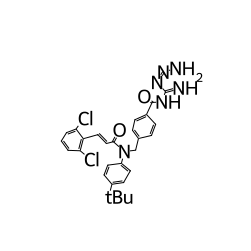 CC(C)(C)c1ccc(N(Cc2ccc(C(=O)NC(=N)/N=N\N)cc2)C(=O)/C=C/c2c(Cl)cccc2Cl)cc1